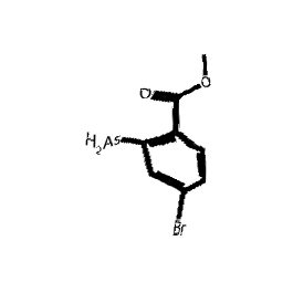 COC(=O)c1ccc(Br)cc1[AsH2]